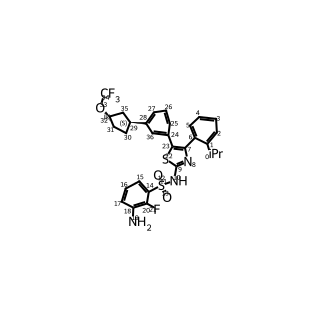 CC(C)c1ccccc1-c1nc(NS(=O)(=O)c2cccc(N)c2F)sc1-c1cccc([C@H]2CC[C@@H](OC(F)(F)F)C2)c1